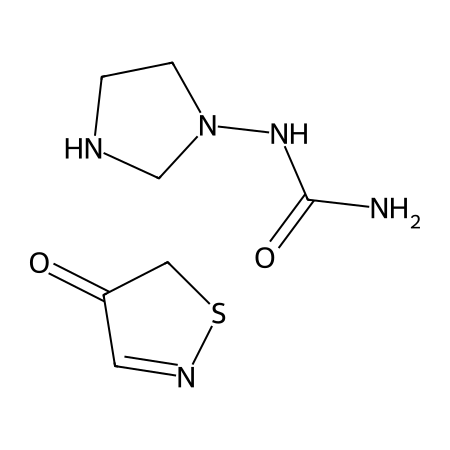 NC(=O)NN1CCNC1.O=C1C=NSC1